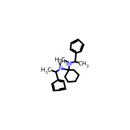 CC(c1ccccc1)N(C)C1(N(C)C(C)c2ccccc2)CCCCC1